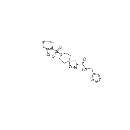 O=C(NCc1cccs1)C1=NOC2(CCN(S(=O)(=O)c3ccccc3Cl)CC2)C1